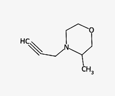 C#CCN1CCOCC1C